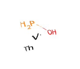 OP.[Th].[V]